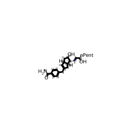 CCCCC[C@H](O)/C=C/[C@@H]1[C@H]2CC(Cc3ccc(C(N)=O)cc3)=C[C@H]2C[C@H]1O